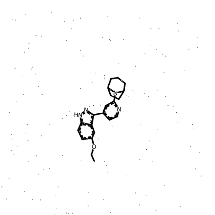 CCOc1ccc2[nH]nc(-c3ccnc(N4C5CCCC4CC5)c3)c2c1